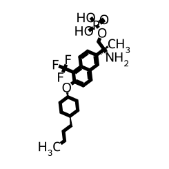 CCCC[C@H]1CC[C@@H](Oc2ccc3cc([C@@](C)(N)COP(=O)(O)O)ccc3c2C(F)(F)F)CC1